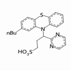 CCCCc1ccc2c(c1)N(C(CCS(=O)(=O)O)c1ncccn1)c1ccccc1S2